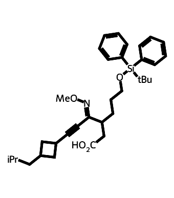 CON=C(C#CC1CC(CC(C)C)C1)C(CCCO[Si](c1ccccc1)(c1ccccc1)C(C)(C)C)CC(=O)O